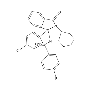 O=C(c1ccc(F)cc1)N1C2CCCCC2N2C(=O)c3ccccc3C12c1ccc(Cl)cc1